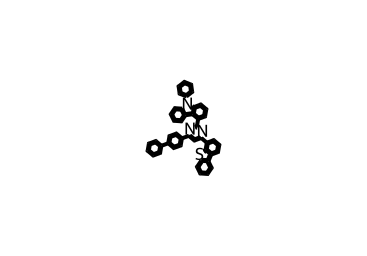 c1ccc(-c2ccc(-c3cc(-c4cccc5c4sc4ccccc45)nc(-c4cccc5c4c4ccccc4n5-c4ccccc4)n3)cc2)cc1